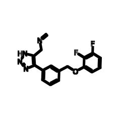 C=NCc1[nH]nnc1-c1cccc(COc2cccc(F)c2F)c1